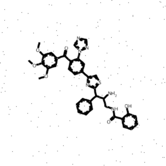 COc1cc(C(=O)c2ccc(-c3csc(C(c4ccccc4)C(N)CNC(=O)c4ccccc4O)n3)cc2-n2cncn2)cc(OC)c1OC